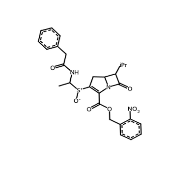 CC(C)C1C(=O)N2C(C(=O)OCc3ccccc3[N+](=O)[O-])=C([S+]([O-])C(C)NC(=O)Cc3ccccc3)CC12